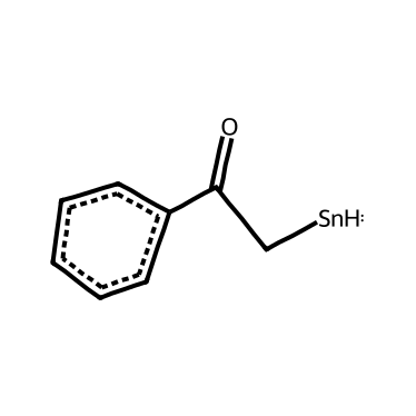 O=C([CH2][SnH])c1ccccc1